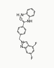 Nc1ccccc1NC(=O)c1ccc(Cn2cc3c(F)cc(F)cc3n2)cc1